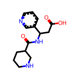 O=C(O)CC(NC(=O)C1CCCNC1)c1cccnc1